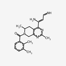 Cc1nc2c(c(/C(N)=C/C=N)n1)CC(C)N(C(=O)c1cccc(C)c1C)C2